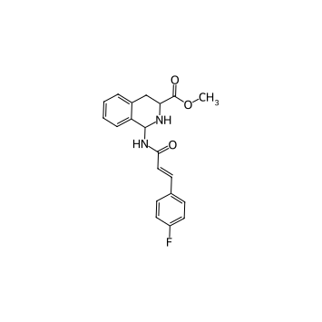 COC(=O)C1Cc2ccccc2C(NC(=O)C=Cc2ccc(F)cc2)N1